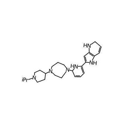 CC(C)N1CCC(N2CCCN(C3C=CC=C(c4cc5c([nH]4)C=CCN5)N3)CC2)CC1